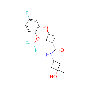 CC1(O)CC(NC(=O)[C@H]2C[C@H](Oc3cc(F)ccc3OC(F)F)C2)C1